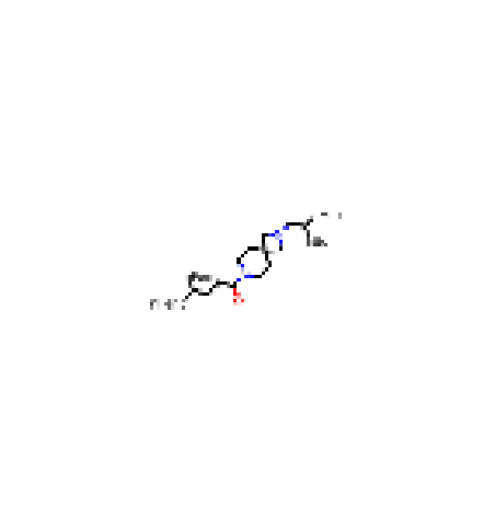 CCCCCCC(CCCC)CN1CC2(CCN(C(=O)CCC(CCCCC)CCCCC)CC2)C1